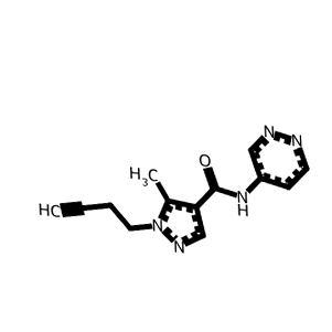 C#CCCn1ncc(C(=O)Nc2ccnnc2)c1C